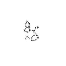 O[C@@H](c1ccccc1)c1c(C2CC2)sc2cncn12